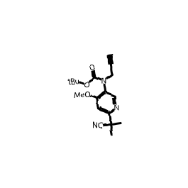 C#CCN(C(=O)OC(C)(C)C)c1cnc(C(C)(C)C#N)cc1OC